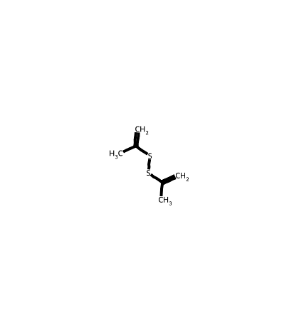 C=C(C)SSC(=C)C